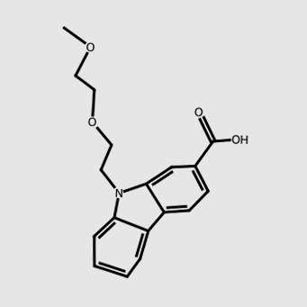 COCCOCCn1c2ccccc2c2ccc(C(=O)O)cc21